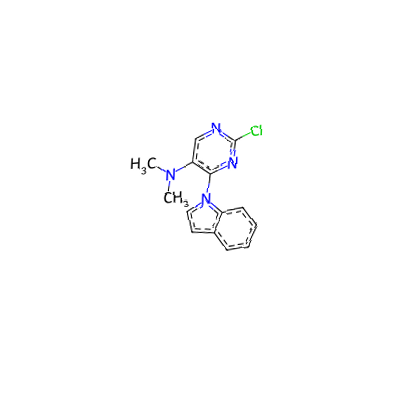 CN(C)c1cnc(Cl)nc1-n1ccc2ccccc21